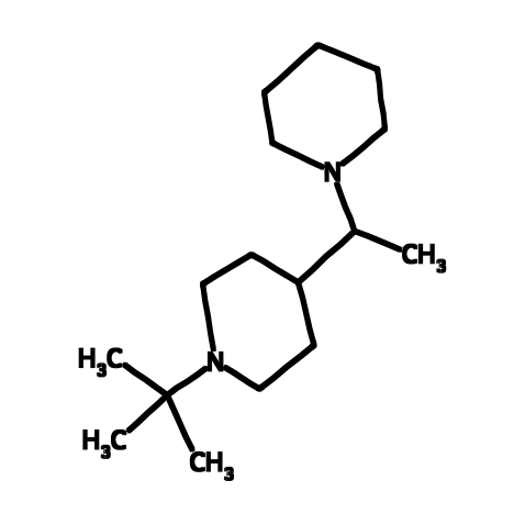 CC(C1CCN(C(C)(C)C)CC1)N1CCCCC1